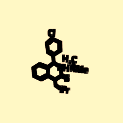 CC(C)CC1C(=S)NC(c2ccc(Cl)cc2)c2ccccc21.CNC